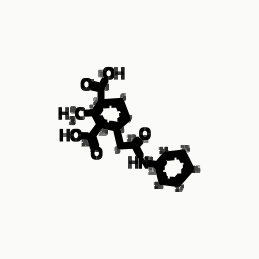 Cc1c(C(=O)O)ccc(CC(=O)Nc2ccccc2)c1C(=O)O